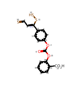 O=C(Oc1ccc(/C(=C/C=S)SS)cc1)Oc1ccccc1C(=O)O